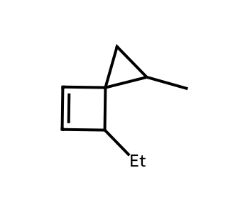 CCC1C=CC12CC2C